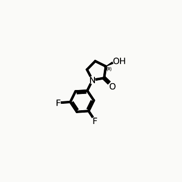 O=C1[C@H](O)CCN1c1cc(F)cc(F)c1